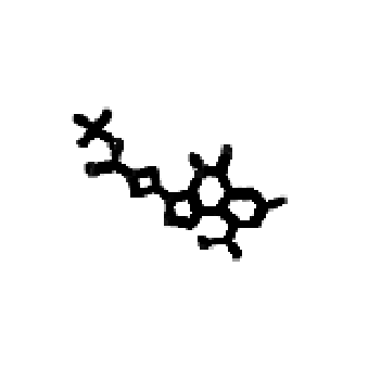 Cc1cc(C(C)Br)c2c(c1)c(=O)n(C)c1c2cnn1C1CN(C(=O)OC(C)(C)C)C1